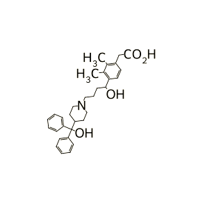 Cc1c(CC(=O)O)ccc(C(O)CCCN2CCC(C(O)(c3ccccc3)c3ccccc3)CC2)c1C